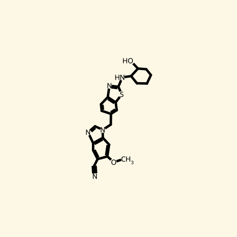 COc1cc2c(cc1C#N)ncn2Cc1ccc2nc(NC3CCCCC3O)sc2c1